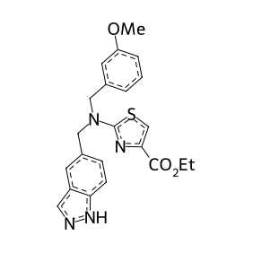 CCOC(=O)c1csc(N(Cc2cccc(OC)c2)Cc2ccc3[nH]ncc3c2)n1